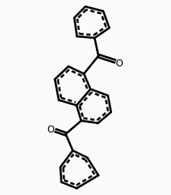 O=C(c1ccccc1)c1cccc2c(C(=O)c3ccccc3)cccc12